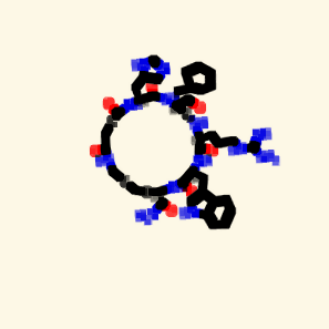 N=C(N)NCCC[C@@H]1NC[C@@](C=O)(Cc2ccccc2)NC(=O)[C@H](Cc2cnc[nH]2)NC(=O)CCC(=O)NCCCC[C@@H](C(N)=O)NC(=O)[C@H](Cc2c[nH]c3ccccc23)NC1=O